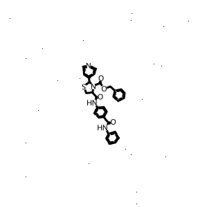 O=C(Nc1ccccc1)c1ccc(NC(=O)C2CSC(c3ccncc3)N2C(=O)OCc2ccccc2)cc1